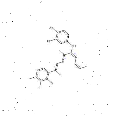 C\C=C/N=C(Nc1ccc(C(C)=O)c(CC)c1)\C(C)=N\C=C(/C)c1ccc(C)c(F)c1F